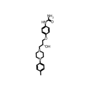 Cc1ccc(N2CCN(C[C@@H](O)COc3ccc(NC(N)=O)cc3)CC2)cc1